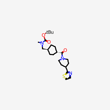 CN(C[C@H]1CC[C@H](C(=O)N2CCC(c3nccs3)CC2)CC1)C(=O)OC(C)(C)C